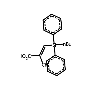 CCCC[Si](C=C(C)C(=O)O)(c1ccccc1)c1ccccc1